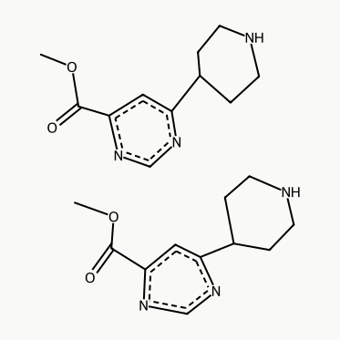 COC(=O)c1cc(C2CCNCC2)ncn1.COC(=O)c1cc(C2CCNCC2)ncn1